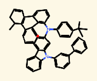 CC1CC=Cc2c1c1ccccc1c1c(N(c3ccc(C(C)(C)C)cc3)c3ccc4c5ccccc5n(-c5cccc(-c6ccccc6)c5)c4c3)cccc21